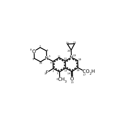 Cc1c(F)c(N2CCOCC2)cc2c1c(=O)c(C(=O)O)cn2C1CC1